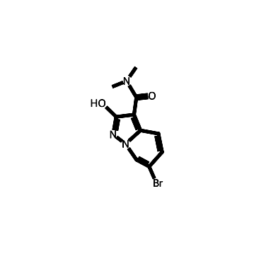 CN(C)C(=O)c1c(O)nn2cc(Br)ccc12